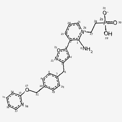 Nc1c(-c2cc(Cc3ccc(COc4ccccn4)cc3)no2)ccc[n+]1CCP(=O)([O-])O